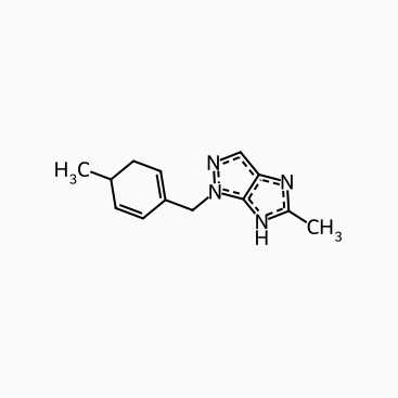 Cc1nc2cnn(CC3=CCC(C)C=C3)c2[nH]1